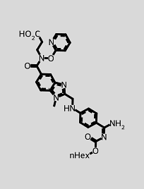 CCCCCCOC(=O)/N=C(/N)c1ccc(NCc2nc3cc(C(=O)N(CCC(=O)O)Oc4ccccn4)ccc3n2C)cc1